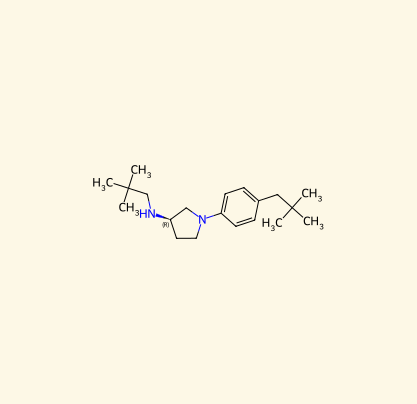 CC(C)(C)CN[C@@H]1CCN(c2ccc(CC(C)(C)C)cc2)C1